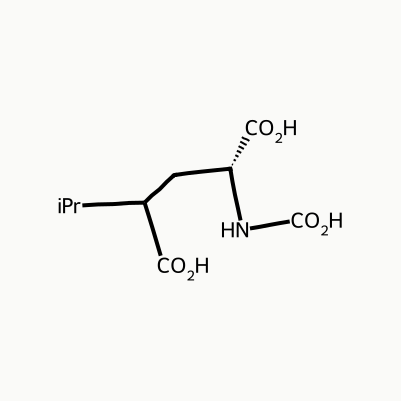 CC(C)C(C[C@@H](NC(=O)O)C(=O)O)C(=O)O